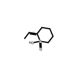 C/C=C1/CCCCP1(=O)O